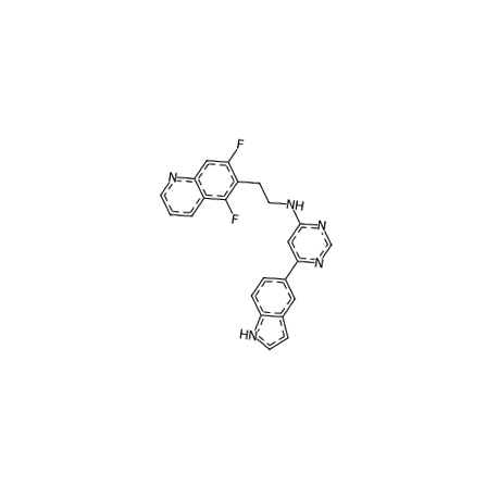 Fc1cc2ncccc2c(F)c1CCNc1cc(-c2ccc3[nH]ccc3c2)ncn1